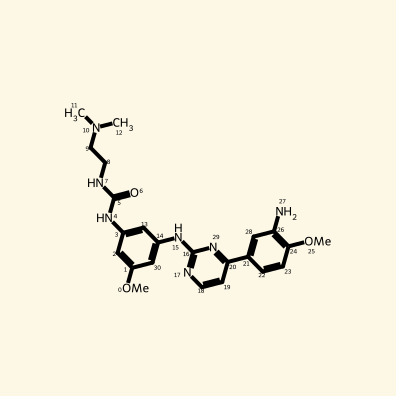 COc1cc(NC(=O)NCCN(C)C)cc(Nc2nccc(-c3ccc(OC)c(N)c3)n2)c1